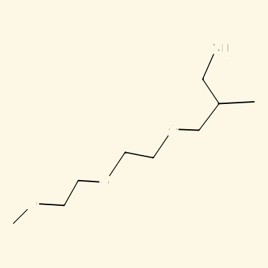 COCCOCCOCC(C)CN